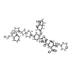 CC(C)c1ccccc1C1CCCN1C1CC2(CCN(c3ccc(C(=O)NS(=O)(=O)c4cc([N+](=O)[O-])c(NCC5CCOCC5)cn4)c(Oc4cnc5[nH]ccc5c4)c3)CC2)C1